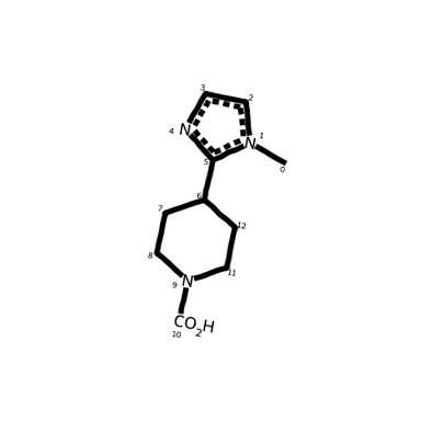 Cn1ccnc1C1CCN(C(=O)O)CC1